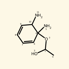 CC(O)OC1(N)C=CC=CC1N